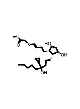 CCCCCC(O)(CCC[C@@H]1[C@@H](CCC=CSCC(=O)OC)[C@@H](O)C[C@H]1O)C1CC1